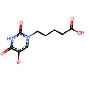 O=C(O)CCCCn1cc(Br)c(=O)[nH]c1=O